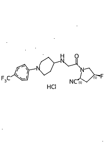 Cl.N#C[C@@H]1C[C@H](F)CN1C(=O)CNC1CCN(c2ccc(C(F)(F)F)cc2)CC1